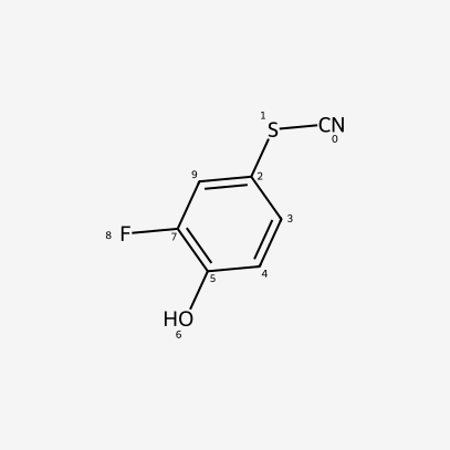 N#CSc1ccc(O)c(F)c1